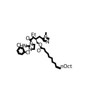 CCCCCCCC/C=C\CCCCCCCC(=O)OC[C@H](Cc1cncn1C)[C@H](CC)C(=O)N1CCN=C1Nc1c(Cl)cccc1Cl